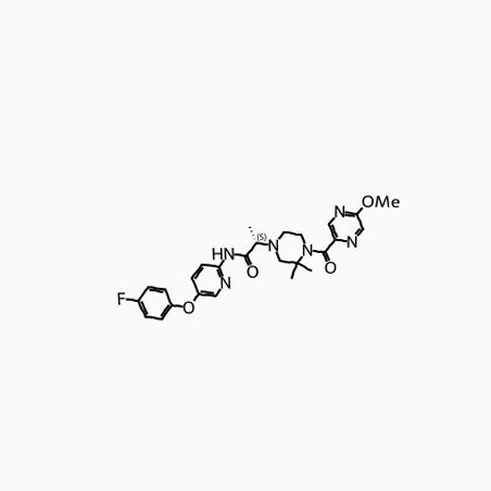 COc1cnc(C(=O)N2CCN([C@@H](C)C(=O)Nc3ccc(Oc4ccc(F)cc4)cn3)CC2(C)C)cn1